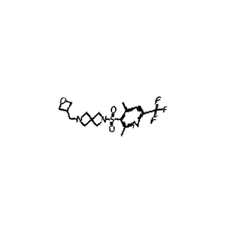 Cc1cc(C(F)(F)F)nc(C)c1S(=O)(=O)N1CC2(CN(CC3COC3)C2)C1